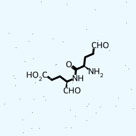 N[C@H](CCC=O)C(=O)N[C@@H](C=O)CCC(=O)O